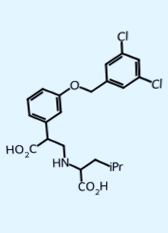 CC(C)CC(NCC(C(=O)O)c1cccc(OCc2cc(Cl)cc(Cl)c2)c1)C(=O)O